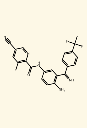 Cc1cc(C#N)cnc1C(=O)Nc1ccc(N)c(C(=N)c2ccc(C(C)(F)F)cc2)c1